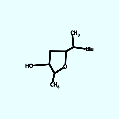 CC1OC(C(C)C(C)(C)C)CC1O